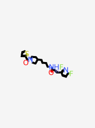 O=C(/C=C/c1ccc(F)nc1F)NCCCCC1CCN(C(=O)c2cccs2)CC1